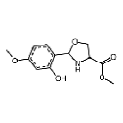 COC(=O)C1COC(c2ccc(OC)cc2O)N1